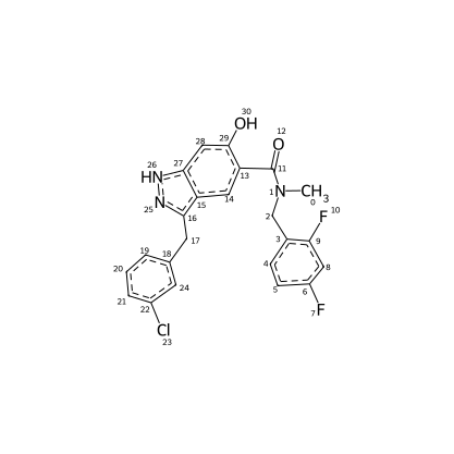 CN(Cc1ccc(F)cc1F)C(=O)c1cc2c(Cc3cccc(Cl)c3)n[nH]c2cc1O